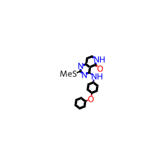 CSc1nc(Nc2ccc(Oc3ccccc3)cc2)c2c(=O)[nH]ccc2n1